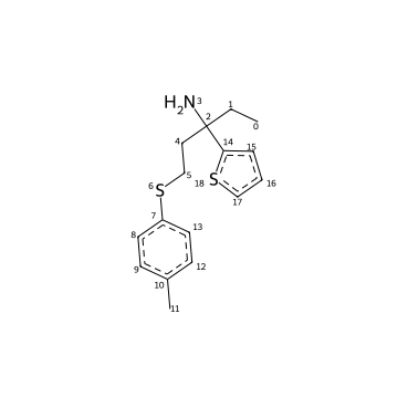 CCC(N)(CCSc1ccc(C)cc1)c1cccs1